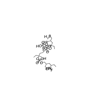 BCC(COP(=O)(O)O)CC(C)(CC)OP(=O)(O)OCCC(C)(CC)OP(=O)(O)OCC(CO)CC(CC)NF